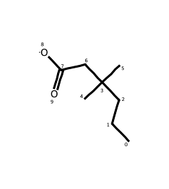 CCCC(C)(C)CC([O])=O